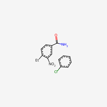 CCc1ccc(C(N)=O)cc1[N+](=O)[O-].Clc1ccccc1